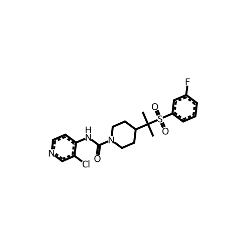 CC(C)(C1CCN(C(=O)Nc2ccncc2Cl)CC1)S(=O)(=O)c1cccc(F)c1